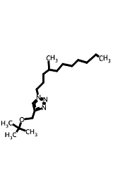 CCCCCCC[C](C)CCCn1cc(COC(C)(C)C)nn1